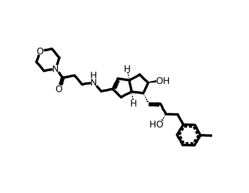 Cc1cccc(C[C@H](O)/C=C/[C@@H]2[C@H]3CC(CNCCC(=O)N4CCOCC4)=C[C@H]3C[C@H]2O)c1